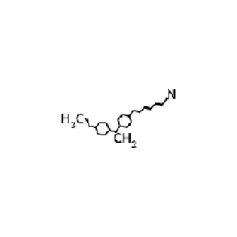 C=C(C1CCC(CCC)CC1)C1CCC(CCC=CC=CC#N)CC1